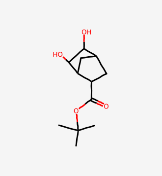 CC(C)(C)OC(=O)C1CC2CC1C(O)C2O